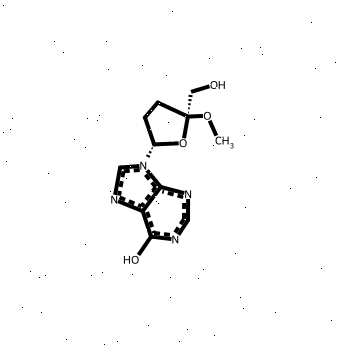 CO[C@]1(CO)CC[C@@H](n2cnc3c(O)ncnc32)O1